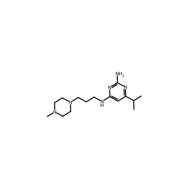 CC(C)c1cc(NCCCN2CCN(C)CC2)nc(N)n1